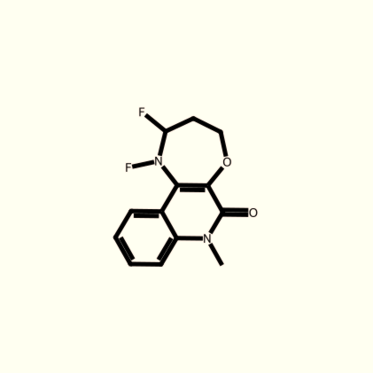 Cn1c(=O)c2c(c3ccccc31)N(F)C(F)CCO2